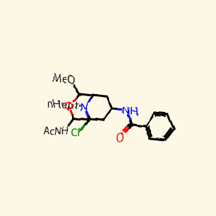 CCCCCCCN1C2CC(NC(=O)c3ccccc3)CC1(Cl)C(NC(C)=O)OC2OC